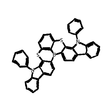 c1ccc(-n2c3ccccc3c3ccc4c(c32)Sc2cccc3c2B4c2ccc4c5ccccc5n(-c5ccccc5)c4c2S3)cc1